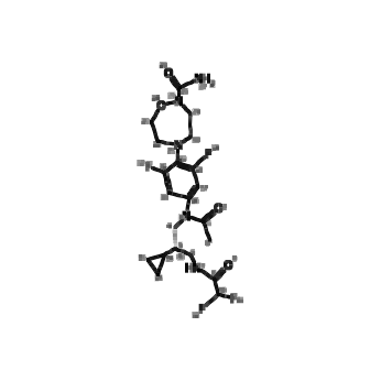 CC(=O)N(C[C@H](CNC(=O)C(F)F)C1CC1)c1cc(F)c(N2CCON(C(N)=O)CC2)c(F)c1